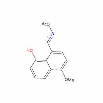 COc1ccc(/C=N/OC(C)=O)c2c(O)cccc12